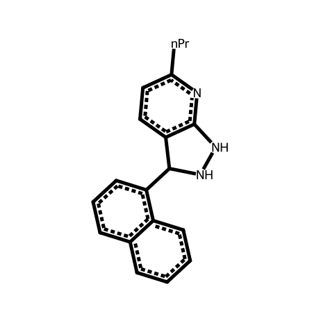 CCCc1ccc2c(n1)NNC2c1cccc2ccccc12